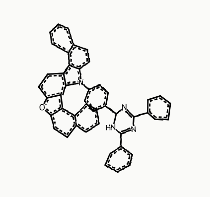 c1ccc(C2=NC(c3ccc(-n4c5ccc6ccccc6c5c5ccc6oc7ccc8ccccc8c7c6c54)cc3)NC(c3ccccc3)=N2)cc1